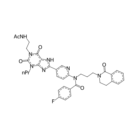 CCCn1c(=O)n(CCNC(C)=O)c(=O)c2[nH]c(-c3ccc(N(CCCN4CCc5ccccc5C4=O)C(=O)c4ccc(F)cc4)nc3)nc21